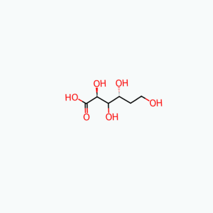 O=C(O)[C@@H](O)C(O)[C@H](O)CCO